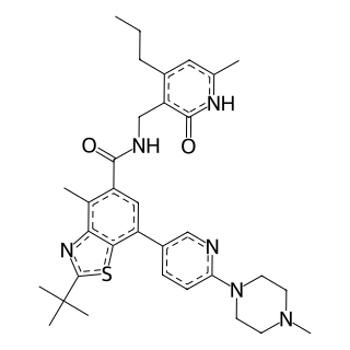 CCCc1cc(C)[nH]c(=O)c1CNC(=O)c1cc(-c2ccc(N3CCN(C)CC3)nc2)c2sc(C(C)(C)C)nc2c1C